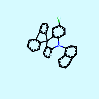 Clc1ccc2c(c1)C1(c3ccccc3-c3ccccc31)c1ccccc1N2c1cccc2ccccc12